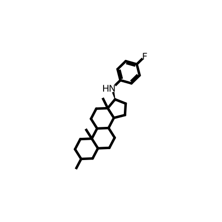 CC1CCC2(C)C(CCC3C2CCC2(C)C3CC[C@@H]2Nc2ccc(F)cc2)C1